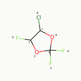 FC1OC(F)(F)OC1Cl